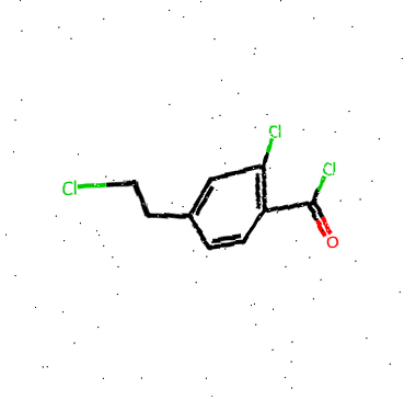 O=C(Cl)c1ccc(CCCl)cc1Cl